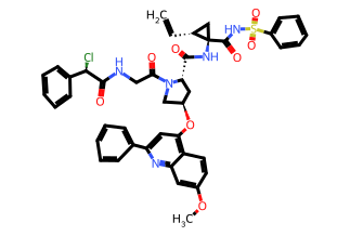 C=C[C@@H]1C[C@]1(NC(=O)[C@@H]1C[C@@H](Oc2cc(-c3ccccc3)nc3cc(OC)ccc23)CN1C(=O)CNC(=O)[C@H](Cl)c1ccccc1)C(=O)NS(=O)(=O)c1ccccc1